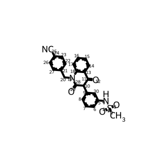 CS(=O)(=O)Nc1cccc(C2C(=O)c3ccccc3N(Cc3ccc(C#N)cc3)C2=O)c1